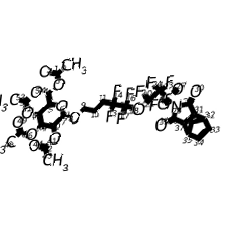 CC(=O)OCC1O[C@@H](OCCCC(F)(F)C(F)(F)OC(F)(F)C(F)(F)S(=O)(=O)N2C(=O)C3C4C=CC(C4)C3C2=O)C(OC(C)=O)[C@@H](OC(C)=O)[C@@H]1OC(C)=O